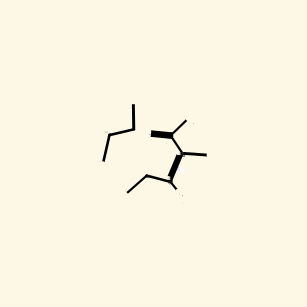 CC/C(N)=C(/C)C(=O)O.CCCC